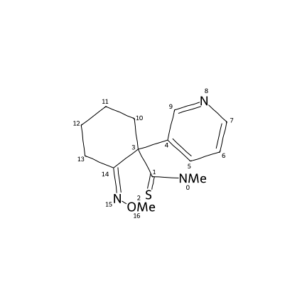 CNC(=S)C1(c2cccnc2)CCCC/C1=N/OC